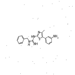 Cc1nc(NC(=N)NCc2ccccc2)sc1-c1cccc(N)c1